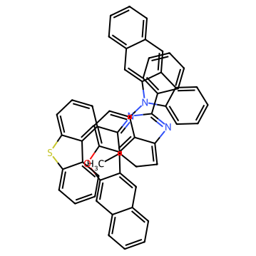 CC1C/C=C(c2c(-n3c4ccccc4c4cc5ccccc5cc43)ccc3oc4cc5ccccc5cc4c23)/N=C(c2ccccc2)\N=C/1c1cccc2sc3ccccc3c12